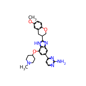 COc1ccc2c(c1)CC(c1nc3cc(-c4ccnc(N)n4)cc(OC4CCN(C)CC4)c3[nH]1)CO2